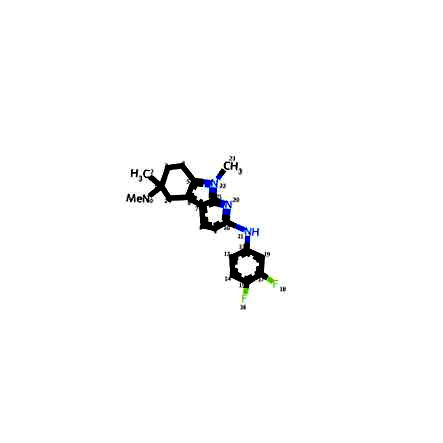 CNC1(C)CCc2c(c3ccc(Nc4ccc(F)c(F)c4)nc3n2C)C1